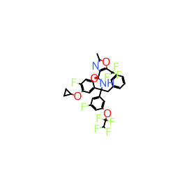 Cc1nc(C(=O)NC(Cc2ccccc2)(c2cc(F)cc(OC(F)(F)C(F)F)c2)c2ccc(F)c(OC3CC3)c2)c(C(F)(F)F)o1